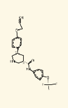 C#CCOc1ccc([C@@H]2CNC[C@@H](C(=O)Nc3ccc(OC(F)(F)F)cc3)C2)cc1